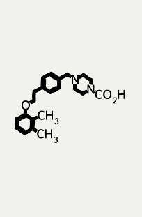 Cc1cccc(OCCc2ccc(CN3CCN(C(=O)O)CC3)cc2)c1C